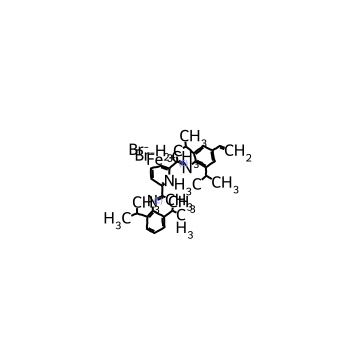 C=Cc1cc(C(C)C)c(/N=C(\C)c2cccc(/C(C)=N/c3c(C(C)C)cccc3C(C)C)n2)c(C(C)C)c1.[Br-].[Br-].[Fe+2]